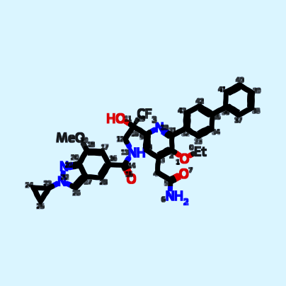 CCOc1c(CC(N)=O)cc([C@@](O)(CNC(=O)c2cc(OC)c3nn(C4CC4)cc3c2)C(F)(F)F)nc1-c1ccc(-c2ccccc2)cc1